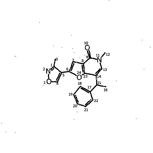 Cc1nocc1-c1cc2c(=O)n(C)cc(C(C)c3ccccc3)c2o1